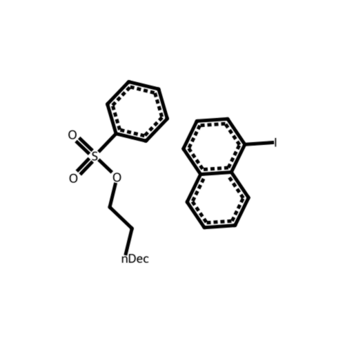 CCCCCCCCCCCCOS(=O)(=O)c1ccccc1.Ic1cccc2ccccc12